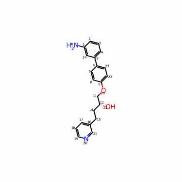 Nc1cccc(-c2ccc(OC[C@H](O)CCc3cccnc3)cc2)c1